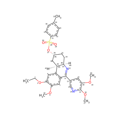 CCOc1cc2c(cc1OC)C(c1cnc(OC)c(OC)c1)=N[C@@H]1CC[C@@H](OS(=O)(=O)c3ccc(C)cc3)C[C@H]21